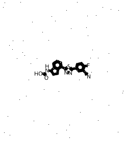 N#Cc1cc(-c2nnc(-c3cccc4c3CCC4NC(=O)O)s2)ccc1F